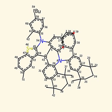 C=Cc1cc2c3c(c1)N(c1cc4c(cc1-c1ccccc1)C(C)(C)CCC4(C)C)c1c(ccc4c1C(C)(C)CCC4(C)C)B3c1c(sc3ccc(C)cc13)N2c1ccc(C(C)(C)C)cc1C